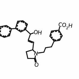 O=C(O)c1ccc(CCCN2C(=O)CCC2/C=C/C(O)c2cccc(-c3ccccc3)c2)cc1